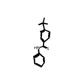 CC(C)(C)c1ccc(C(=S)Nc2ccccc2)cc1